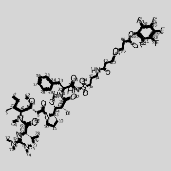 CC[C@H](C)[C@@H]([C@@H](CC(=O)N1CCC[C@H]1[C@H](OC)[C@@H](C)C(=O)N[C@@H](Cc1ccccc1)C(=O)NS(=O)(=O)CCCNC(=O)CCOCCC(=O)Oc1c(F)c(F)c(F)c(F)c1F)OC)N(C)C(=O)[C@@H](N=C(N(C)C)N(C)C)C(C)C